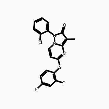 Cc1c(=O)n(-c2ccccc2Cl)n2ccc(Sc3ccc(F)cc3F)nc12